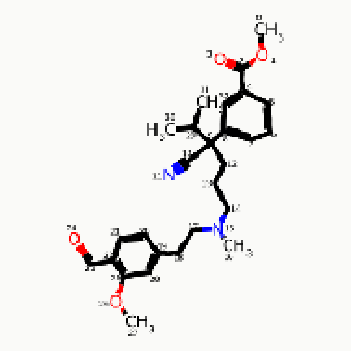 COC(=O)c1cccc(C(C#N)(CCCN(C)CCc2ccc(C=O)c(OC)c2)C(C)C)c1